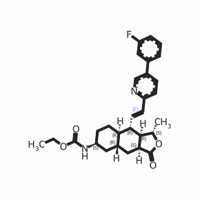 CCOC(=O)N[C@H]1CC[C@@H]2[C@@H](C1)C[C@@H]1C(=O)O[C@@H](C)[C@@H]1[C@H]2/C=C/c1ccc(-c2cccc(F)c2)cn1